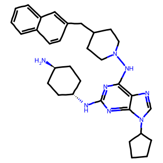 N[C@H]1CC[C@H](Nc2nc(NN3CCC(Cc4ccc5ccccc5c4)CC3)c3ncn(C4CCCC4)c3n2)CC1